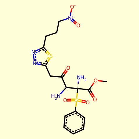 COC(=O)[C@](N)(C(N)C(=O)Cc1nnc(CCC[N+](=O)[O-])s1)S(=O)(=O)c1ccccc1